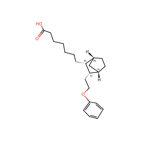 O=C(O)CCCCCC[C@@H]1[C@@H]2CC[C@@H](C2)[C@@H]1CCOc1ccccc1